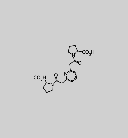 O=C(O)C1CCCN1C(=O)Cc1cccc(CC(=O)N2CCCC2C(=O)O)n1